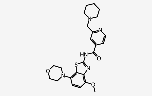 COc1ccc(N2CCOCC2)c2sc(NC(=O)c3ccnc(CN4CCCCC4)c3)nc12